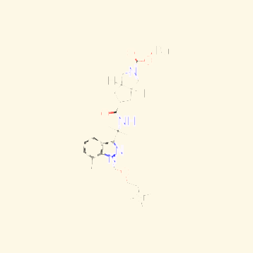 Cc1cccc2c(C(C)(C)NC(=O)[C@H]3C[C@@H]4CN(C(=O)OC(C)(C)C)C[C@@H]4C3)nn(COCC[Si](C)(C)C)c12